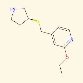 CCOc1cc(CS[C@H]2CCNC2)ccn1